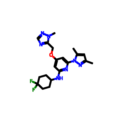 Cc1cc(C)n(-c2cc(OCc3ncnn3C)cc(NC3CCC(F)(F)CC3)n2)n1